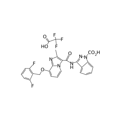 Cc1nc2c(OCc3c(F)cccc3F)cccn2c1C(=O)Nc1nn(C(=O)O)c2ccccc12.O=C(O)C(F)(F)F